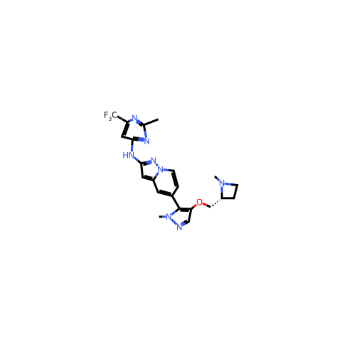 Cc1nc(Nc2cc3cc(-c4c(OC[C@H]5CCN5C)cnn4C)ccn3n2)cc(C(F)(F)F)n1